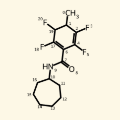 CC1C(F)=C(F)C(C(=O)NC2CCCCCC2)=C(F)C1F